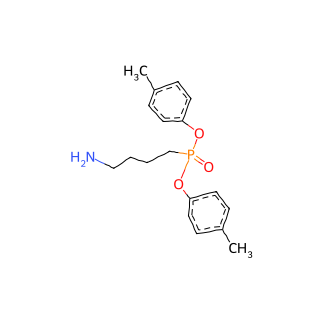 Cc1ccc(OP(=O)(CCCCN)Oc2ccc(C)cc2)cc1